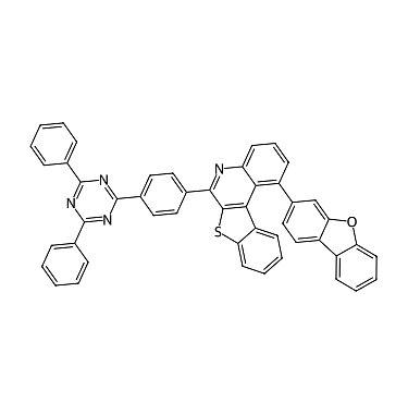 c1ccc(-c2nc(-c3ccccc3)nc(-c3ccc(-c4nc5cccc(-c6ccc7c(c6)oc6ccccc67)c5c5c4sc4ccccc45)cc3)n2)cc1